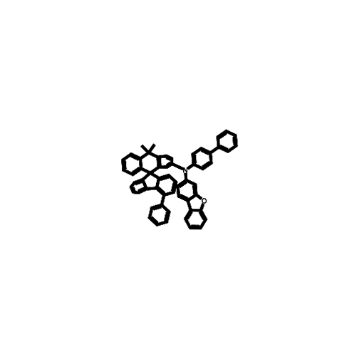 CC1(C)c2ccccc2C2(c3ccccc3-c3c(-c4ccccc4)cccc32)c2cc(N(c3ccc(-c4ccccc4)cc3)c3ccc4c(c3)oc3ccccc34)ccc21